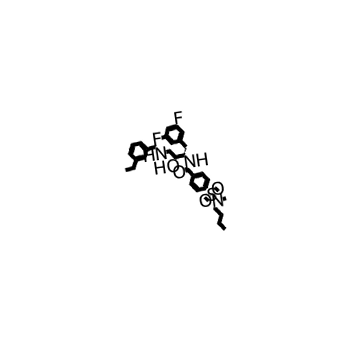 CCCCN(C)S(=O)(=O)c1ccc(C(=O)N[C@@H](Cc2cc(F)cc(F)c2)[C@@H](O)CNCc2cccc(CC)c2)cc1